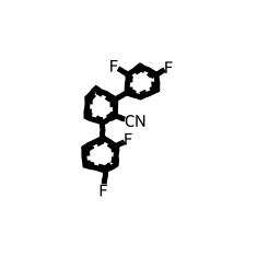 N#Cc1c(-c2ccc(F)cc2F)cccc1-c1ccc(F)cc1F